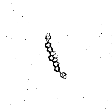 c1cc2cc3c(cc2cc1N1CCOCC1)sc1c3ccc2c3cc4ccc(N5CCOCC5)cc4cc3sc21